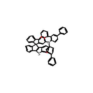 c1ccc(-c2ccc(N(c3ccc4c(c3)C3(c5ccccc5-4)c4ccccc4-c4sc5ccccc5c43)c3ccc(-c4ccccc4)cc3-c3ccccc3)cc2)cc1